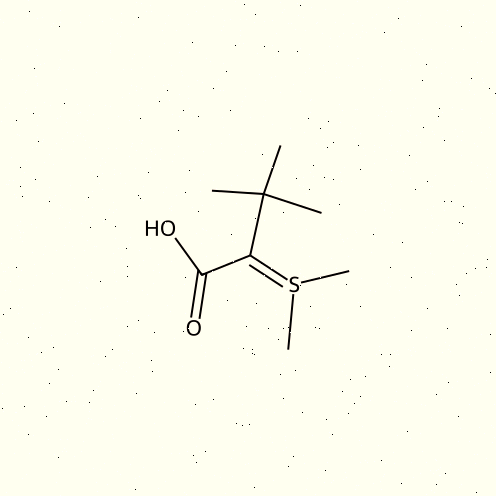 CS(C)=C(C(=O)O)C(C)(C)C